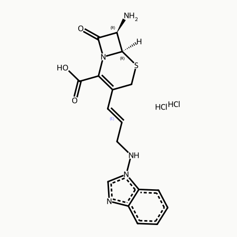 Cl.Cl.N[C@@H]1C(=O)N2C(C(=O)O)=C(/C=C/CNn3cnc4ccccc43)CS[C@H]12